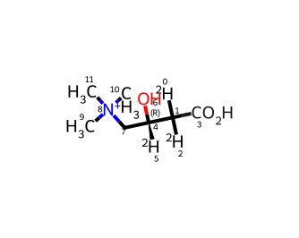 [2H]C([2H])(C(=O)O)[C@@]([2H])(O)C[N+](C)(C)C